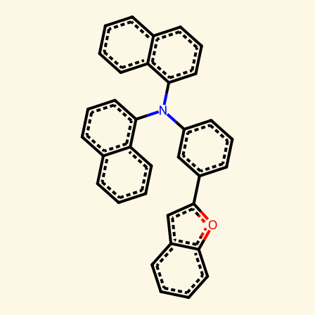 c1cc(-c2cc3ccccc3o2)cc(N(c2cccc3ccccc23)c2cccc3ccccc23)c1